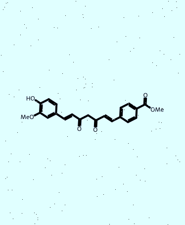 COC(=O)c1ccc(C=CC(=O)CC(=O)C=Cc2ccc(O)c(OC)c2)cc1